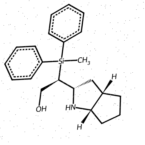 C[Si](c1ccccc1)(c1ccccc1)[C@H](CO)[C@@H]1C[C@@H]2CCC[C@@H]2N1